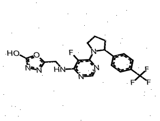 Oc1nnc(CNc2ncnc(N3CCCC3c3ccc(C(F)(F)F)cc3)c2F)o1